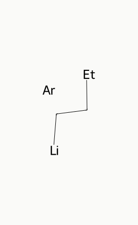 [Ar].[Li][CH2]CCC